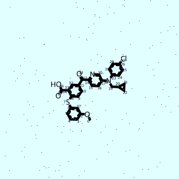 COc1cccc(Sc2ccc(C(=O)c3ccc(N(CC4CC4)c4ccc(Cl)cc4)cn3)cc2C(=O)O)c1